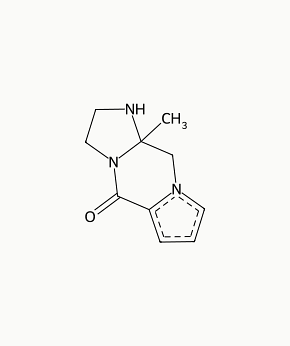 CC12Cn3cccc3C(=O)N1CCN2